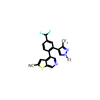 CCn1cc(-c2cc(C(F)F)ccc2-c2cncc3sc(C#N)cc23)c(C(F)(F)F)n1